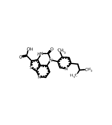 Cc1cc(CC(C)C)ncc1N1C(=O)Nc2c(C(=O)O)sc3nccc1c23